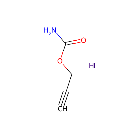 C#CCOC(N)=O.I